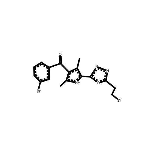 Cc1[nH]c(-c2nnc(CCCl)o2)c(C)c1C(=O)c1cccc(Br)c1